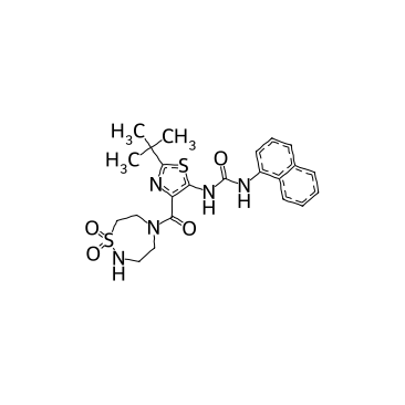 CC(C)(C)c1nc(C(=O)N2CCNS(=O)(=O)CC2)c(NC(=O)Nc2cccc3ccccc23)s1